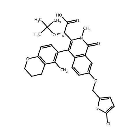 Cc1c(-c2c([C@H](OC(C)(C)C)C(=O)O)n(C)c(=O)c3cc(OCc4ccc(Cl)s4)ccc23)ccc2c1CCCO2